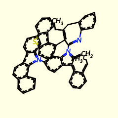 C=c1/c(=c2/cccc/c2=C/C)c2ccc(-n3c4ccccc4c4ccc5ccccc5c43)cc2n1C1=Nc2ccccc2CC(CC)=C1c1cccc2sc3ccccc3c12